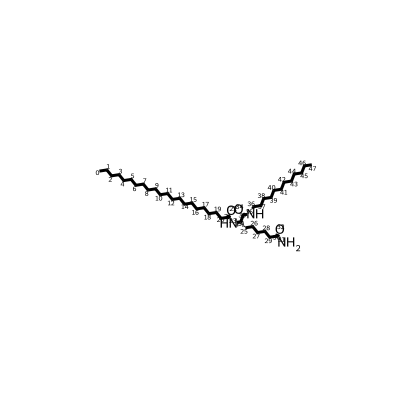 CCCCCCCCCCCCCCCCCCCCCC(=O)N[C@@H](CCCCCC(N)=O)C(=O)NCCCCCCCCCCCC